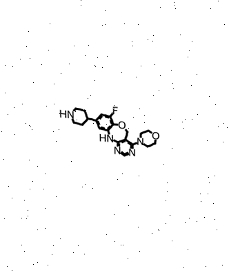 Fc1cc(C2CCNCC2)cc2c1OCc1c(ncnc1N1CCOCC1)N2